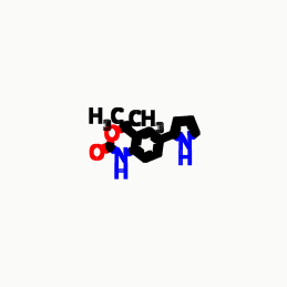 CC1(C)OC(=O)Nc2ccc(-c3ccc[nH]3)cc21